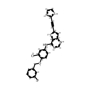 Fc1cccc(COc2ccc(Nc3ncnc4cc(C#Cc5nccs5)sc34)cc2Cl)c1